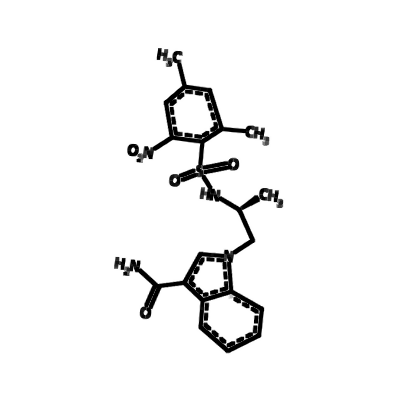 Cc1cc(C)c(S(=O)(=O)N[C@@H](C)Cn2cc(C(N)=O)c3ccccc32)c([N+](=O)[O-])c1